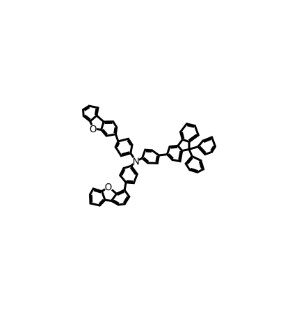 c1ccc(C2(c3ccccc3)c3ccccc3-c3cc(-c4ccc(N(c5ccc(-c6ccc7c(c6)oc6ccccc67)cc5)c5ccc(-c6cccc7c6oc6ccccc67)cc5)cc4)ccc32)cc1